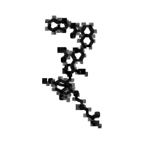 Cc1c(-c2ccc(N3CCc4cccc(C(=O)Nc5nc6ccccc6s5)c4C3)nc2C(=O)O)cnn1CC12CC3(C)CC(C)(C1)CC(OCCNCCC(N)=O)(C3)C2